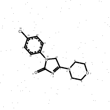 O=C1N=C(N2CCOCC2)CN1c1ccc(Cl)cc1